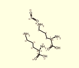 NCCC[C@@H](N)C(=O)O.NCCC[C@@H](N)C(=O)O.O=S=O